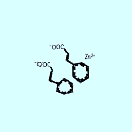 O=C([O-])/C=C/c1ccccc1.O=C([O-])/C=C/c1ccccc1.[Zn+2]